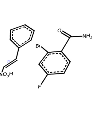 NC(=O)c1ccc(F)cc1Br.O=S(=O)(O)/C=C/c1ccccc1